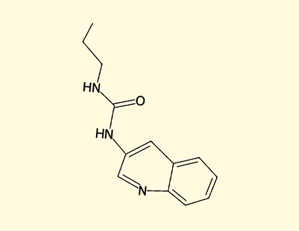 CCCNC(=O)Nc1cnc2ccccc2c1